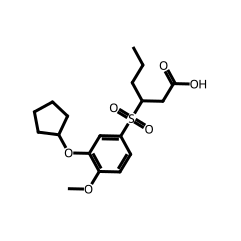 CCCC(CC(=O)O)S(=O)(=O)c1ccc(OC)c(OC2CCCC2)c1